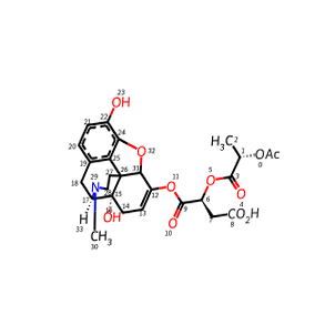 CC(=O)O[C@@H](C)C(=O)O[C@@H](CC(=O)O)C(=O)OC1=CC[C@@]2(O)[C@H]3Cc4ccc(O)c5c4C2(CCN3C)C1O5